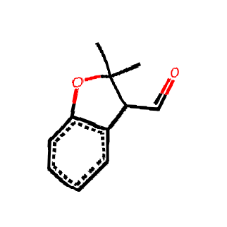 CC1(C)Oc2ccccc2C1C=O